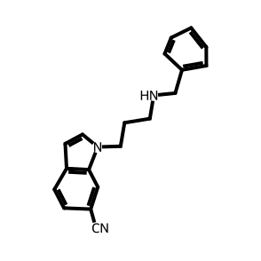 N#Cc1ccc2ccn(CCCNCc3ccccc3)c2c1